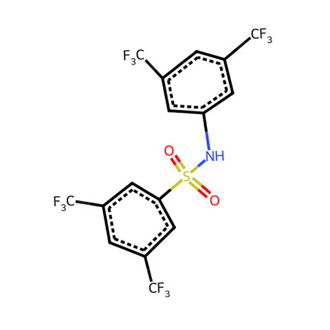 O=S(=O)(Nc1cc(C(F)(F)F)cc(C(F)(F)F)c1)c1cc(C(F)(F)F)cc(C(F)(F)F)c1